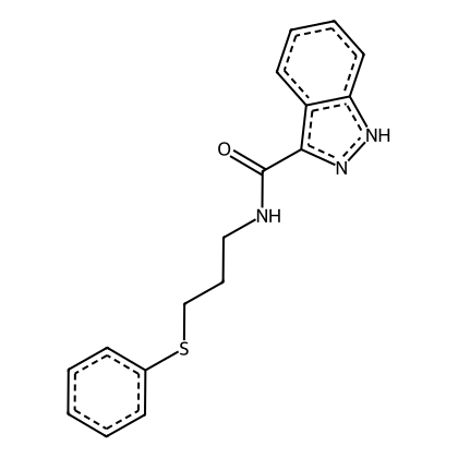 O=C(NCCCSc1ccccc1)c1n[nH]c2ccccc12